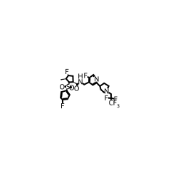 C[C@@H]1C(S(=O)(=O)c2ccc(F)cc2)[C@H](C(=O)NCc2cc(C3CCN(CC(F)(F)C(F)(F)F)CC3)ncc2F)C[C@H]1F